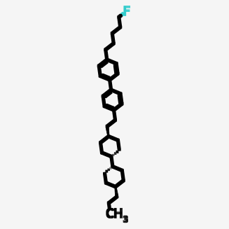 CCC[C@H]1CC[C@H]([C@H]2CC[C@H](CCc3ccc(-c4ccc(CCCCCF)cc4)cc3)CC2)CC1